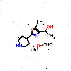 CC(C)(C)OC=O.Cc1sc(C2CCNCC2)nc1C(C)O